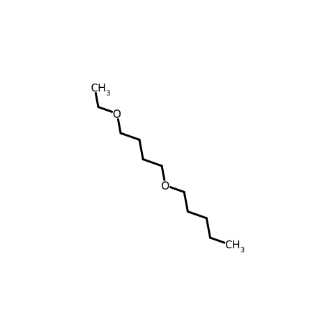 CCCCCOCCCCOCC